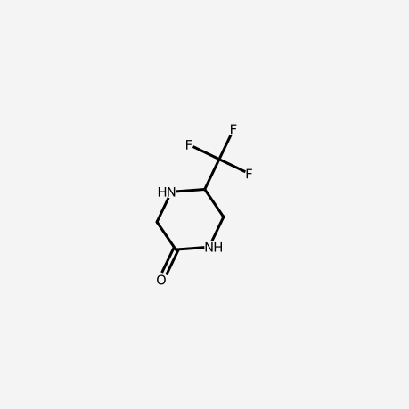 O=C1CNC(C(F)(F)F)CN1